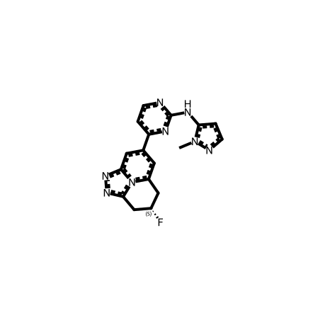 Cn1nccc1Nc1nccc(-c2cc3n4c(nnc4c2)C[C@@H](F)C3)n1